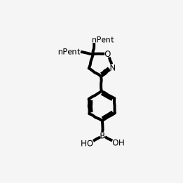 CCCCCC1(CCCCC)CC(c2ccc(B(O)O)cc2)=NO1